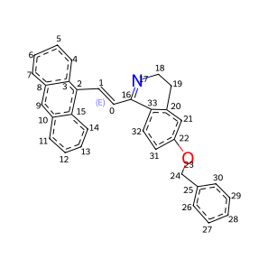 C(=C\c1c2ccccc2cc2ccccc12)/C1=NCCc2cc(OCc3ccccc3)ccc21